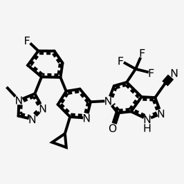 Cn1cnnc1-c1cc(F)ccc1-c1cc(C2CC2)nc(-n2cc(C(F)(F)F)c3c(C#N)n[nH]c3c2=O)c1